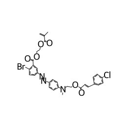 C=C(C)C(=O)OCCOC(=O)c1cc(/N=N/c2ccc(N(C)CCOC(=O)/C=C/c3ccc(Cl)cc3)cc2)ccc1Br